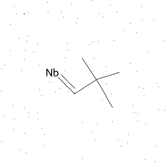 CC(C)(C)[CH]=[Nb]